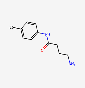 CCc1ccc(NC(=O)CCCN)cc1